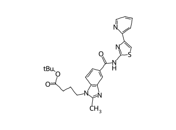 Cc1nc2cc(C(=O)Nc3nc(-c4ccccn4)cs3)ccc2n1CCCC(=O)OC(C)(C)C